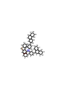 c1ccc(-c2ccc(-c3cc4ccccc4c4ccccc34)cc2N(c2ccc(-c3ccc4c(ccc5ccccc54)c3)cc2)c2cccc3sc4ccccc4c23)cc1